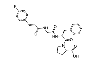 O=C(C=Cc1ccc(F)cc1)NCC(=O)N[C@@H](Cc1ccccc1)C(=O)N1CCC[C@H]1C(=O)O